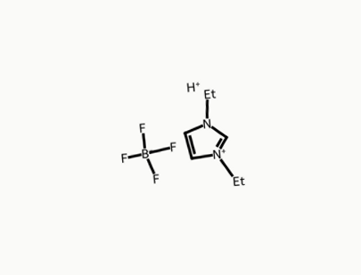 CCn1cc[n+](CC)c1.F[B-](F)(F)F.[H+]